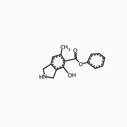 Cc1cc2c(c(O)c1C(=O)Oc1ccccc1)CNC2